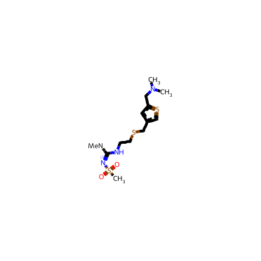 CN/C(=N/S(C)(=O)=O)NCCSCc1csc(CN(C)C)c1